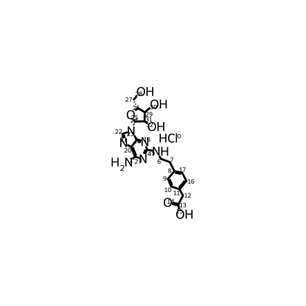 Cl.Nc1nc(NCCc2ccc(CC(=O)O)cc2)nc2c1ncn2[C@@H]1O[C@H](CO)C(O)C1O